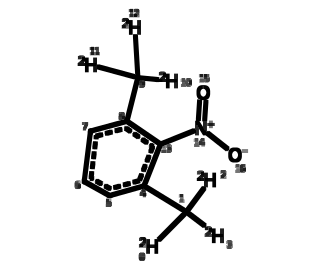 [2H]C([2H])([2H])c1cccc(C([2H])([2H])[2H])c1[N+](=O)[O-]